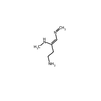 C=N/C=C(/CCN)NC